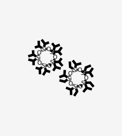 CC(C)[Si]1(C(C)C)O[Si](C(C)C)(C(C)C)O[Si](C(C)C)(C(C)C)O[Si](C(C)C)(C(C)C)O[Si](C(C)C)(C(C)C)O1.CC[Si]1(C(C)C)O[Si](CC)(C(C)C)O[Si](CC)(C(C)C)O[Si](CC)(C(C)C)O[Si](CC)(C(C)C)O1